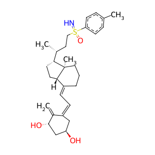 C=C1/C(=C\C=C2/CCC[C@]3(C)[C@@H]([C@H](C)CCS(=N)(=O)c4ccc(C)cc4)CC[C@@H]23)C[C@@H](O)C[C@@H]1O